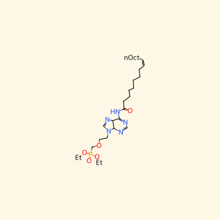 CCCCCCCC/C=C\CCCCCCCC(=O)NC1=NC=NC2C1N=CN2CCOCP(=O)(OCC)OCC